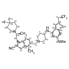 CNc1nc(NC2CCN(Cc3ccc4c(cc(C#N)n4C[C@H](C)N4CCC(F)(F)CC4)c3C)CC2)c2cc(CC(F)(F)F)sc2n1